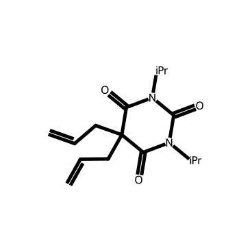 C=CCC1(CC=C)C(=O)N(C(C)C)C(=O)N(C(C)C)C1=O